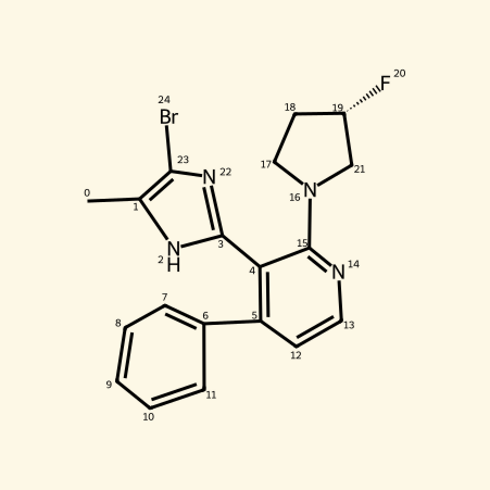 Cc1[nH]c(-c2c(-c3ccccc3)ccnc2N2CC[C@H](F)C2)nc1Br